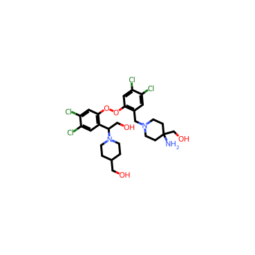 NC1(CO)CCN(Cc2cc(Cl)c(Cl)cc2OOc2cc(Cl)c(Cl)cc2C(CO)N2CCC(CO)CC2)CC1